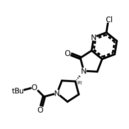 CC(C)(C)OC(=O)N1CC[C@@H](N2Cc3ccc(Cl)nc3C2=O)C1